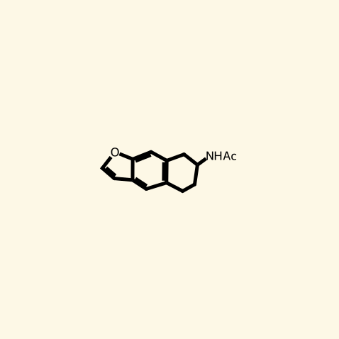 CC(=O)NC1CCc2cc3ccoc3cc2C1